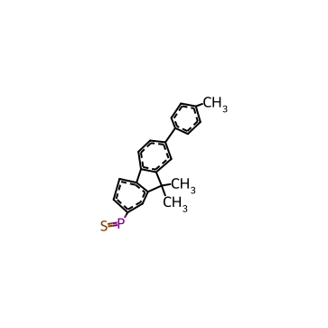 Cc1ccc(-c2ccc3c(c2)C(C)(C)c2cc(P=S)ccc2-3)cc1